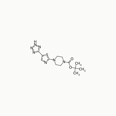 CC(C)(C)OC(=O)N1CCN(c2ncc(-c3nn[nH]n3)s2)CC1